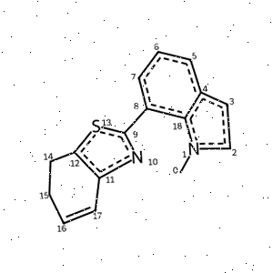 Cn1ccc2cccc(-c3nc4c(s3)CCC=C4)c21